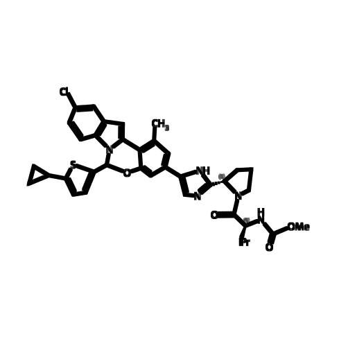 COC(=O)N[C@H](C(=O)N1CCC[C@H]1c1ncc(-c2cc(C)c3c(c2)OC(c2ccc(C4CC4)s2)n2c-3cc3cc(Cl)ccc32)[nH]1)C(C)C